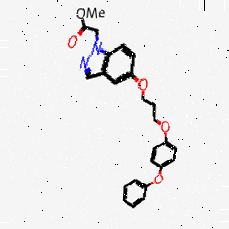 COC(=O)Cn1ncc2cc(OCCCOc3ccc(Oc4ccccc4)cc3)ccc21